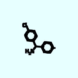 NC(c1cc[c]cc1)c1ccc(Cl)cc1